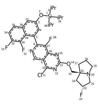 CC(C)[Si](Oc1cc(-c2ncc3c(Cl)nc(OC[C@@]45CCCN4C[C@H](F)C5)nc3c2F)c2c(F)c(F)ccc2c1)(C(C)C)C(C)C